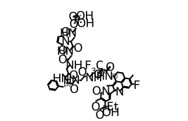 CC[C@@]1(O)C(=O)OCc2c1cc1n(c2=O)Cc2c-1nc1cc(F)c(C)c3c1c2[C@@H](NC(=O)[C@@H](OCNC(=O)CNC(=O)[C@H](Cc1ccccc1)NC(=O)CNC(=O)CNC(=O)C(CNCOP(=O)(O)O)N1C(=O)C=CC1=O)C(F)(F)F)CC3